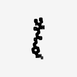 NN1CCN(CCOC(=O)CCC(=O)NC(P=O)P=O)CC1